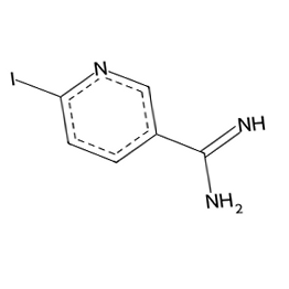 N=C(N)c1ccc(I)nc1